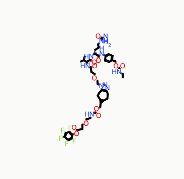 CCNC(=O)OCc1ccc(NC(=O)[C@H](CCCNC(N)=O)NC(=O)[C@@H](NC(=O)CCOCCn2nnc3c2CCC2C(CC3)C2COC(=O)NCCOCCC(=O)Oc2c(F)c(F)c(F)c(F)c2F)C(C)C)cc1